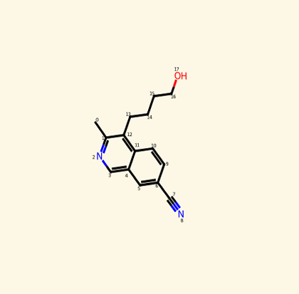 Cc1ncc2cc(C#N)ccc2c1CCCCO